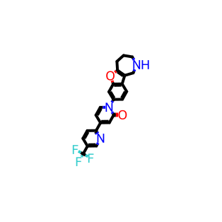 O=c1cc(-c2ccc(C(F)(F)F)cn2)ccn1-c1ccc2c3c(oc2c1)CCCNC3